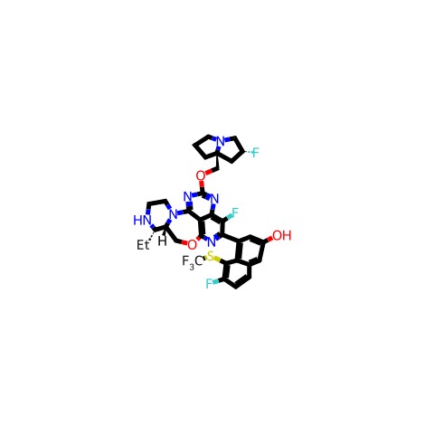 CC[C@@H]1NCCN2c3nc(OC[C@@]45CCCN4C[C@H](F)C5)nc4c(F)c(-c5cc(O)cc6ccc(F)c(SC(F)(F)F)c56)nc(c34)OC[C@H]12